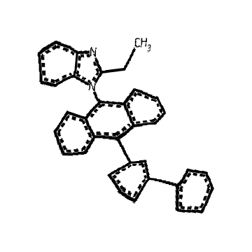 CCc1nc2ccccc2n1-c1c2ccccc2c(-c2cccc(-c3ccccc3)c2)c2ccccc12